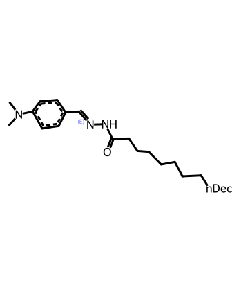 CCCCCCCCCCCCCCCCCC(=O)N/N=C/c1ccc(N(C)C)cc1